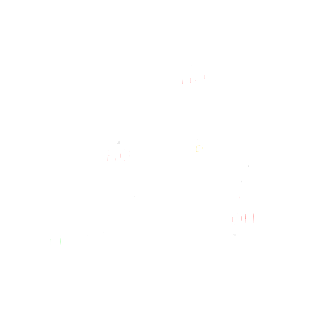 OC[P+](CO)(CO)CCCCl